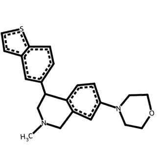 CN1Cc2cc(N3CCOCC3)ccc2C(c2ccc3sccc3c2)C1